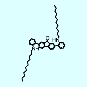 CCCCCCCCCCCCNc1ccccc1-c1ccc2c(c1)C(=O)c1cc(-c3ccccc3NCCCCCCCCCCCC)ccc1-2